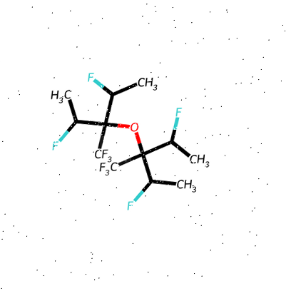 CC(F)C(OC(C(C)F)(C(C)F)C(F)(F)F)(C(C)F)C(F)(F)F